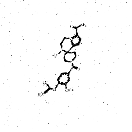 C=C(C)Oc1ccc(C(=O)N2CCC3(CC2)c2ccc(C(=O)C(F)(F)F)n2CCN3C)cc1OC